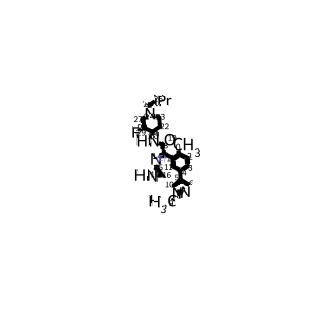 Cc1ccc(-c2cnn(C)c2)cc1/C(=N\C1CN1)C(=O)N[C@@H]1CCN(CC(C)C)C[C@@H]1F